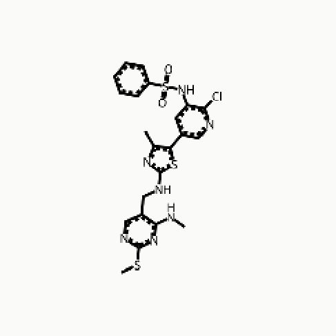 CNc1nc(SC)ncc1CNc1nc(C)c(-c2cnc(Cl)c(NS(=O)(=O)c3ccccc3)c2)s1